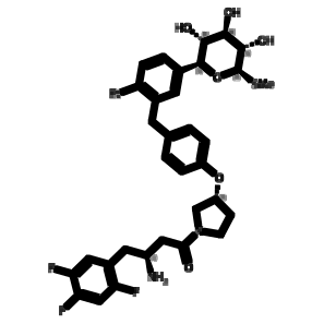 CCc1ccc([C@@H]2O[C@H](SC)[C@@H](O)[C@H](O)[C@H]2O)cc1Cc1ccc(O[C@@H]2CCN(C(=O)C[C@@H](N)Cc3cc(F)c(F)cc3F)C2)cc1